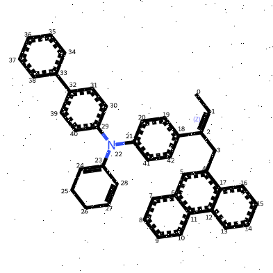 C/C=C(/Cc1cc2ccccc2c2ccccc12)c1ccc(N(C2=CCCC=C2)c2ccc(-c3ccccc3)cc2)cc1